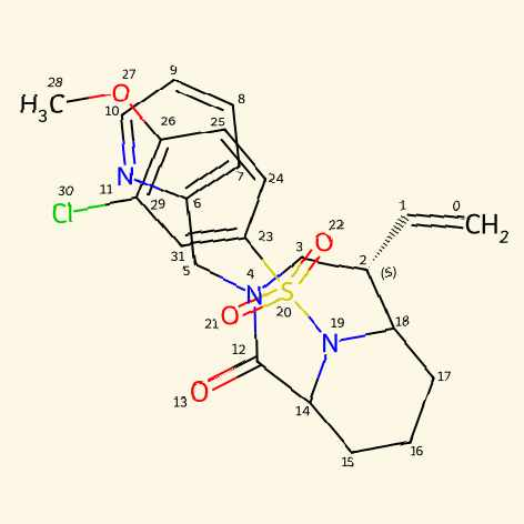 C=C[C@H]1CN(Cc2ccccn2)C(=O)C2CCCC1N2S(=O)(=O)c1ccc(OC)c(Cl)c1